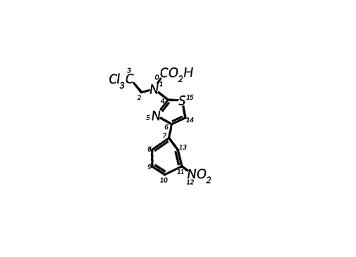 O=C(O)N(CC(Cl)(Cl)Cl)c1nc(-c2cccc([N+](=O)[O-])c2)cs1